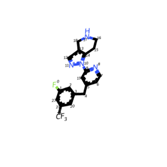 Fc1cc(Cc2ccnc(-n3ncc4c3CCNC4)c2)cc(C(F)(F)F)c1